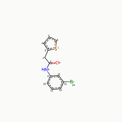 O=C(Cc1cccs1)Nc1cccc(Br)c1